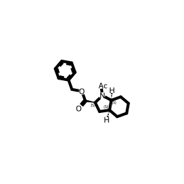 CC(=O)N1[C@H](C(=O)OCc2ccccc2)C[C@@H]2CCCC[C@@H]21